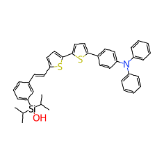 CC(C)[Si](O)(c1cccc(/C=C/c2ccc(-c3ccc(-c4ccc(N(c5ccccc5)c5ccccc5)cc4)s3)s2)c1)C(C)C